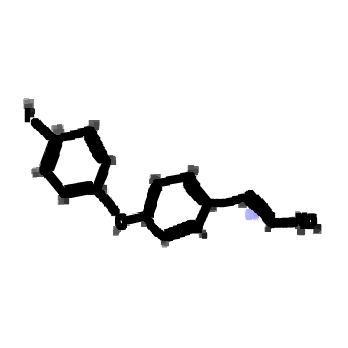 O=[N+]([O-])/C=C/c1ccc(Oc2ccc(F)cc2)cc1